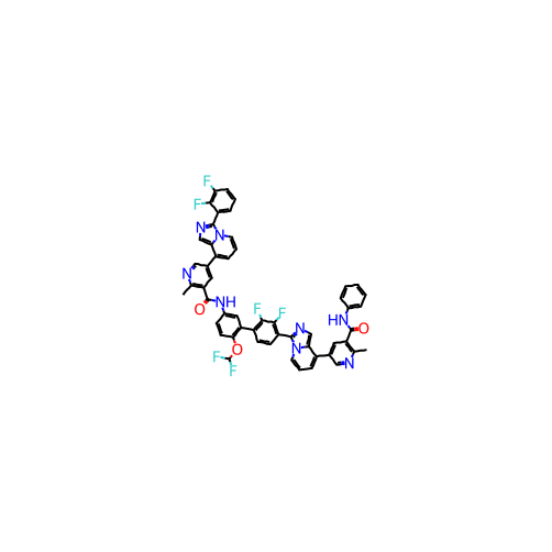 Cc1ncc(-c2cccn3c(-c4cccc(F)c4F)ncc23)cc1C(=O)Nc1ccc(OC(F)F)c(-c2ccc(-c3ncc4c(-c5cnc(C)c(C(=O)Nc6ccccc6)c5)cccn34)c(F)c2F)c1